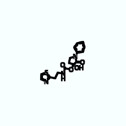 O=C(NCCc1nccs1)O[C@@]1(O)CCN(c2ccccc2)C1=O